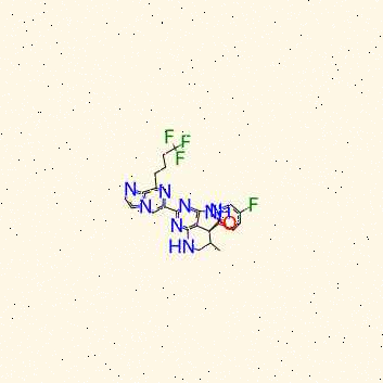 CC1CNc2nc(-c3cn4ccnc4c(CCCC(F)(F)F)n3)nc3c2C1(c1ccc(F)cn1)C(=O)N3